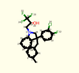 Cc1cccc(CC2(c3ccc(F)c(Cl)c3)CN(C[C@@H](O)C(F)(F)F)c3ccccc32)c1